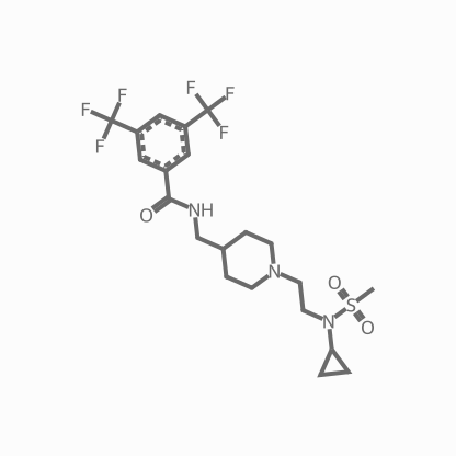 CS(=O)(=O)N(CCN1CCC(CNC(=O)c2cc(C(F)(F)F)cc(C(F)(F)F)c2)CC1)C1CC1